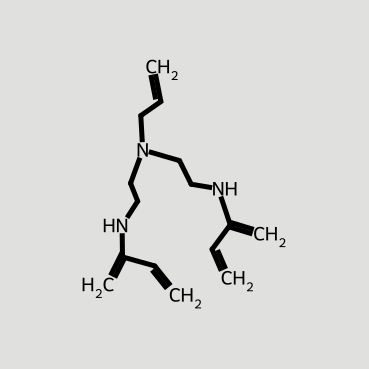 C=CCN(CCNC(=C)C=C)CCNC(=C)C=C